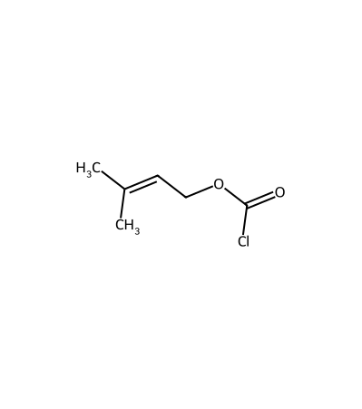 CC(C)=CCOC(=O)Cl